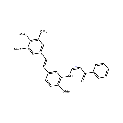 COc1ccc(C=Cc2cc(OC)c(OC)c(OC)c2)cc1N/C=C\C(=O)c1ccccc1